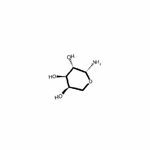 N[C@@H]1OC[C@@H](O)[C@@H](O)[C@@H]1O